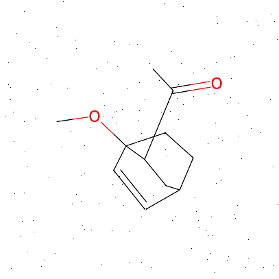 COC12C=CC(CC1)CC2C(C)=O